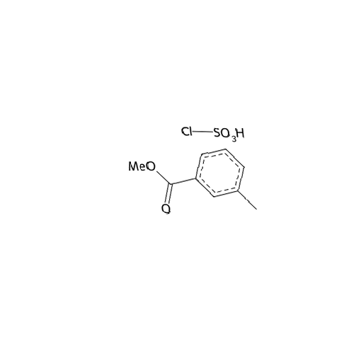 COC(=O)c1cccc(C)c1.O=S(=O)(O)Cl